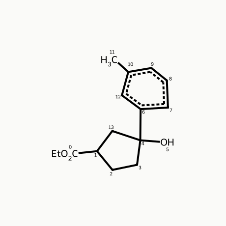 CCOC(=O)C1CCC(O)(c2cccc(C)c2)C1